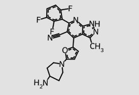 Cc1n[nH]c2nc(-c3c(F)ccc(F)c3F)c(C#N)c(-c3ccc(N4CCC(N)CC4)o3)c12